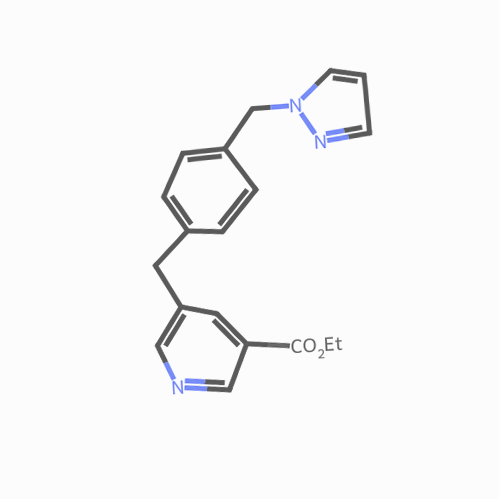 CCOC(=O)c1cncc(Cc2ccc(Cn3cccn3)cc2)c1